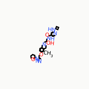 Cc1c(OCc2cnnn2C2CCCCO2)ccc2c1CCN(C[C@@H](O)CNC(=O)c1ccnc(NC3CCC3)c1)C2